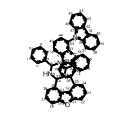 c1ccc(C2=NC(c3ccccc3)NC(c3cccc4oc5cccc(-c6ccc7c(c6)sc6c(-n8c9ccccc9c9ccccc98)cccc67)c5c34)N2)cc1